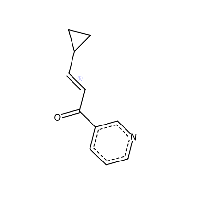 O=C(/C=C/C1CC1)c1cccnc1